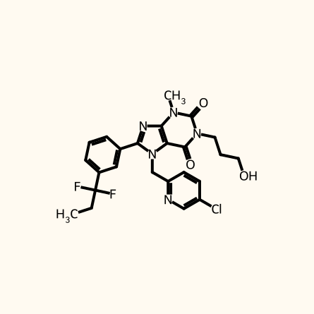 CCC(F)(F)c1cccc(-c2nc3c(c(=O)n(CCCO)c(=O)n3C)n2Cc2ccc(Cl)cn2)c1